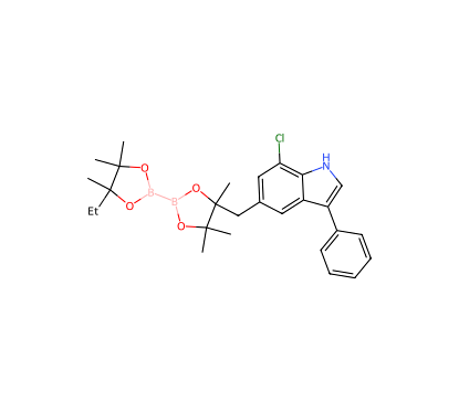 CCC1(C)OB(B2OC(C)(C)C(C)(Cc3cc(Cl)c4[nH]cc(-c5ccccc5)c4c3)O2)OC1(C)C